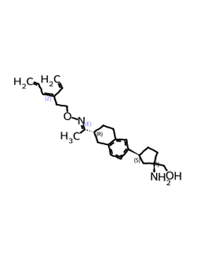 C=C/C=C(\C=C)CCO/N=C(\C)[C@@H]1CCc2cc([C@H]3CC[C@](N)(CO)C3)ccc2C1